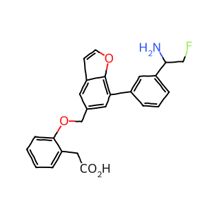 NC(CF)c1cccc(-c2cc(COc3ccccc3CC(=O)O)cc3ccoc23)c1